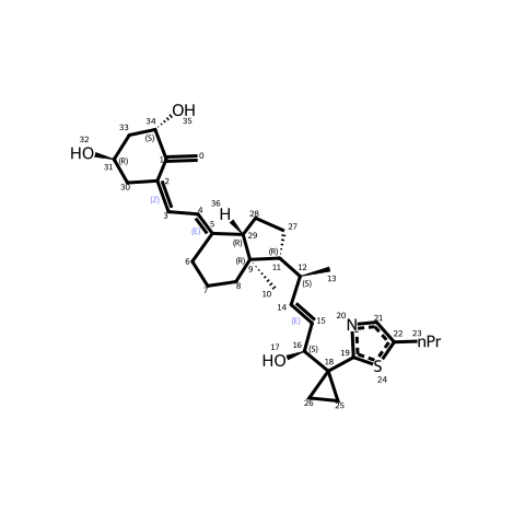 C=C1/C(=C\C=C2/CCC[C@]3(C)[C@@H]([C@@H](C)/C=C/[C@H](O)C4(c5ncc(CCC)s5)CC4)CC[C@@H]23)C[C@@H](O)C[C@@H]1O